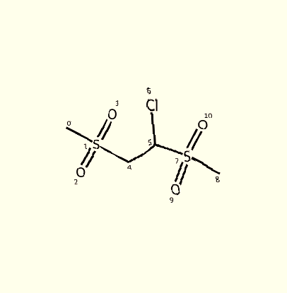 CS(=O)(=O)CC(Cl)S(C)(=O)=O